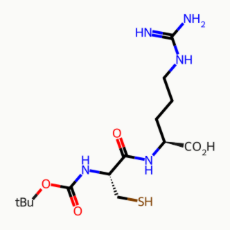 CC(C)(C)OC(=O)N[C@@H](CS)C(=O)N[C@@H](CCCNC(=N)N)C(=O)O